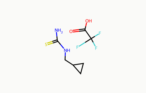 NC(=S)NCC1CC1.O=C(O)C(F)(F)F